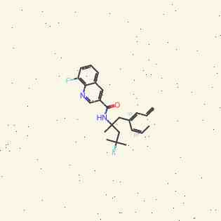 C=C/C=C(\C=C/C)CC(C)(CC(C)(C)F)NC(=O)c1cnc2c(F)cccc2c1